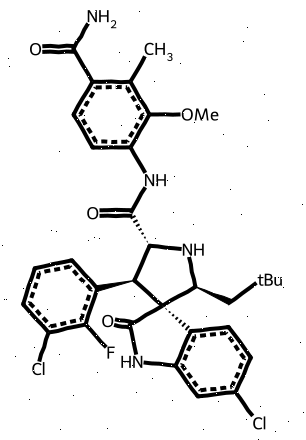 COc1c(NC(=O)[C@@H]2N[C@@H](CC(C)(C)C)[C@@]3(C(=O)Nc4cc(Cl)ccc43)[C@H]2c2cccc(Cl)c2F)ccc(C(N)=O)c1C